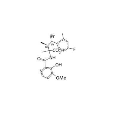 COc1ccnc(C(=O)NC(C)(C(=O)O)[C@@H](C)[C@@H](c2ccc(F)cc2C)C(C)C)c1O